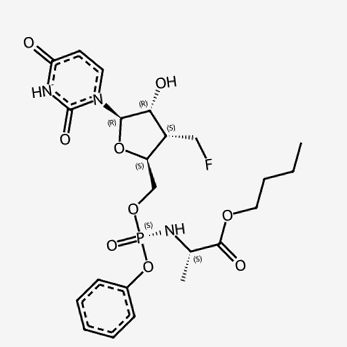 CCCCOC(=O)[C@H](C)N[P@](=O)(OC[C@H]1O[C@@H](n2ccc(=O)[nH]c2=O)[C@H](O)[C@@H]1CF)Oc1ccccc1